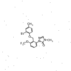 CCc1cc(C)ccc1OCc1c(OC(F)(F)F)cccc1-n1nnn(C)c1=O